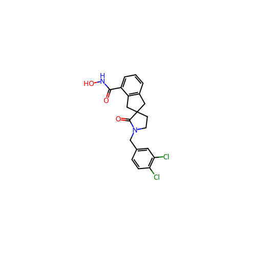 O=C(NO)c1cccc2c1CC1(CCN(Cc3ccc(Cl)c(Cl)c3)C1=O)C2